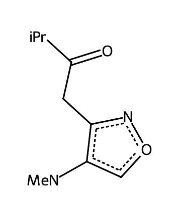 CNc1conc1CC(=O)C(C)C